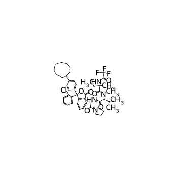 CC[C@](C)(NC(=O)C(F)(F)F)C(=O)N(C)[C@H](C(=O)N[C@@H](CC(=O)OC(c1ccccc1)(c1ccc(C2CCCCCCCC2)cc1)c1ccccc1Cl)C(=O)N1CCCC1)C(C)C